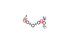 C=CCC(C)(CC)Oc1ccc(C(C)(C)c2cccc(C(C)(C)c3ccc(Oc4cc(C(C)(CC)CC)ccc4C#N)cc3)c2)cc1